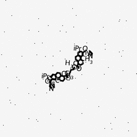 CC(C)c1cc2c(cc1C(=O)n1ccnc1)C1(C)CCCC(C)(C(=O)OCCCOC(=O)C3(C)CCCC4(C)c5cc(C(=O)n6ccnc6)c(C(C)C)cc5CCC34)C1CC2